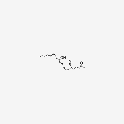 CCC/C=C/C=C\CC(O)/C=C/C=C=CC(C#N)CCCC(C)=O